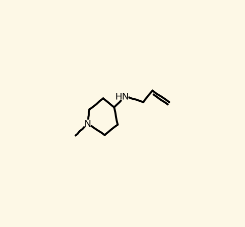 C=CCNC1CCN(C)CC1